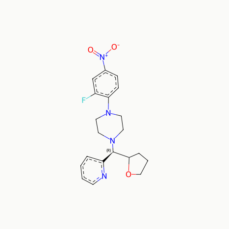 O=[N+]([O-])c1ccc(N2CCN([C@H](c3ccccn3)C3CCCO3)CC2)c(F)c1